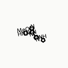 COc1cncc2nc(-c3ccnc(NC4CCCC4)c3)nc(N3CCNCC3)c12